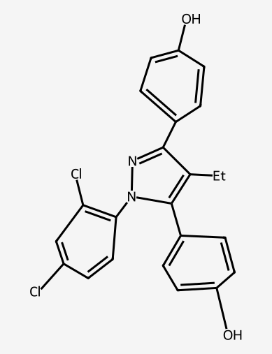 CCc1c(-c2ccc(O)cc2)nn(-c2ccc(Cl)cc2Cl)c1-c1ccc(O)cc1